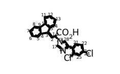 O=C(O)C(C=C1c2ccccc2-c2ccccc21)n1cnc(-c2ccc(Cl)cc2Cl)c1